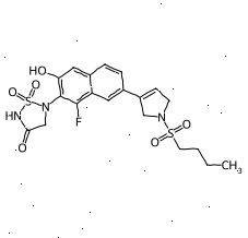 CCCCS(=O)(=O)N1CC=C(c2ccc3cc(O)c(N4CC(=O)NS4(=O)=O)c(F)c3c2)C1